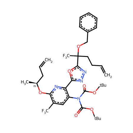 C=CCCC(OCc1ccccc1)(c1nnc(-c2nc(O[C@@H](C)CC=C)c(C(F)(F)F)cc2N(C(=O)OC(C)(C)C)C(=O)OC(C)(C)C)o1)C(F)(F)F